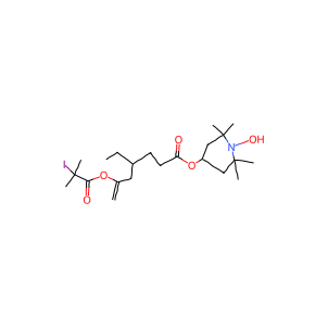 C=C(CC(CC)CCC(=O)OC1CC(C)(C)N(O)C(C)(C)C1)OC(=O)C(C)(C)I